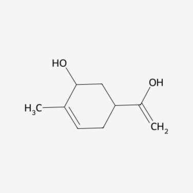 C=C(O)C1CC=C(C)C(O)C1